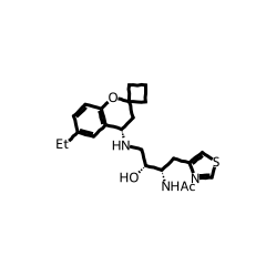 CCc1ccc2c(c1)[C@@H](NC[C@@H](O)[C@H](Cc1cscn1)NC(C)=O)CC1(CCC1)O2